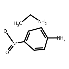 CCN.Nc1ccc([N+](=O)[O-])cc1